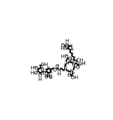 CN(C(=O)CCCCC1SCC2NC(=O)NC21)C(C(=O)O)N1CCN(CC(=O)O)CCN(CCNC(=O)OCc2ccc(OC3OC(CO)C(O)C(O)C3O)c([N+](=O)[O-])c2)CCN(CC(=O)O)CC1